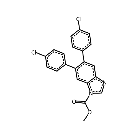 COC(=O)n1cnc2cc(-c3ccc(Cl)cc3)c(-c3ccc(Cl)cc3)cc21